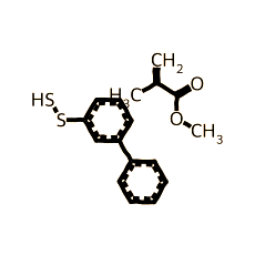 C=C(C)C(=O)OC.SSc1cccc(-c2ccccc2)c1